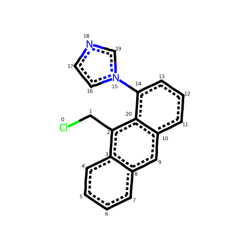 ClCc1c2ccccc2cc2cccc(-n3ccnc3)c12